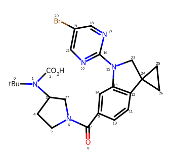 CC(C)(C)N(C(=O)O)C1CCN(C(=O)c2ccc3c(c2)N(c2ncc(Br)cn2)CC32CC2)C1